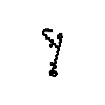 CCCCCC/C=C\CSCCOC(=O)CCN(CCCCCCCC(=O)OCC12CC3CC(CC(C3)C1)C2)CCCn1ccnc1